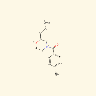 COCCC1CN(C(=O)c2ccc(C(C)(C)C)cc2)CCO1